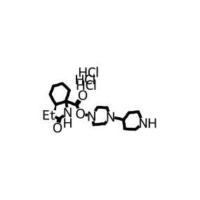 CCC(=O)NC1(C(=O)ON2CCN(C3CCNCC3)CC2)CCCC[C@@H]1C.Cl.Cl.Cl